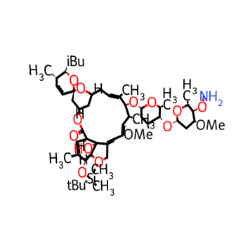 CC[C@@H](C)[C@H]1O[C@]2(C=C[C@@H]1C)C[C@@H]1C[C@@H](C/C=C(\C)[C@@H](O[C@H]3C[C@H](OC)[C@@H](O[C@H]4C[C@H](OC)[C@H](ON)[C@H](C)O4)[C@H](C)O3)[C@@H](C)/C=C/C=C3\CO[C@@H]4[C@H](O[Si](C)(C)C(C)(C)C)C(C)=C[C@@H](C(=O)O1)[C@]34O)O2